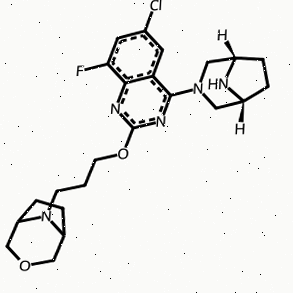 Fc1cc(Cl)cc2c(N3C[C@H]4CC[C@@H](C3)N4)nc(OCCCN3C4CCC3COC4)nc12